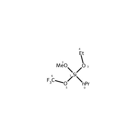 CCC[Si](OC)(OCC)OC(F)(F)F